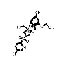 N#Cc1ccc(C[C@H]2CN(S(=O)(=O)c3ccc(Cl)cn3)C[C@@]2(O)CO)c(OCC(F)(F)F)c1